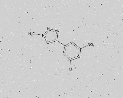 Cn1cc(-c2cc(Cl)cc([N+](=O)[O-])c2)nn1